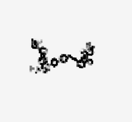 C=C1CCC(N2Cc3c(C#CCN4CCN(c5ccc(Nc6nc(N7CCC[C@H](N8CCN(C)C8=O)C7)cnc6C(N)=O)cc5)CC4)cccc3C2=O)C(=O)N1